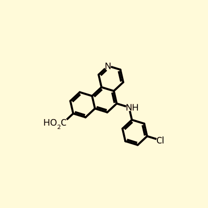 O=C(O)c1ccc2c(c1)cc(Nc1cccc(Cl)c1)c1ccncc12